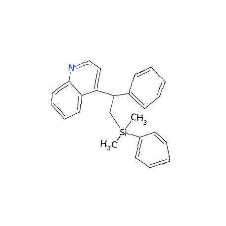 C[Si](C)(CC(c1ccccc1)c1ccnc2ccccc12)c1ccccc1